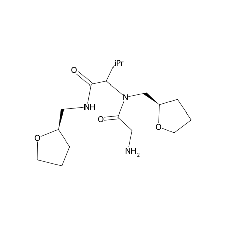 CC(C)C(C(=O)NC[C@H]1CCCO1)N(C[C@H]1CCCO1)C(=O)CN